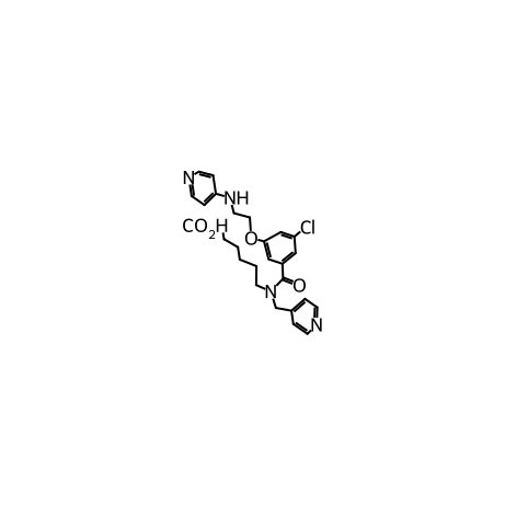 O=C(O)CCCCCN(Cc1ccncc1)C(=O)c1cc(Cl)cc(OCCNc2ccncc2)c1